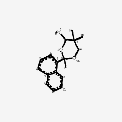 CC(C)C1OC(C)(c2cccc3ccccc23)OCC1(C)C